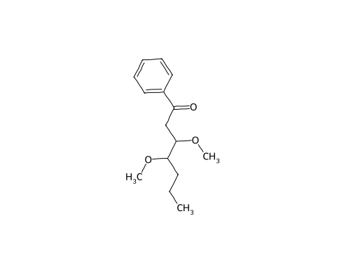 CCCC(OC)C(CC(=O)c1ccccc1)OC